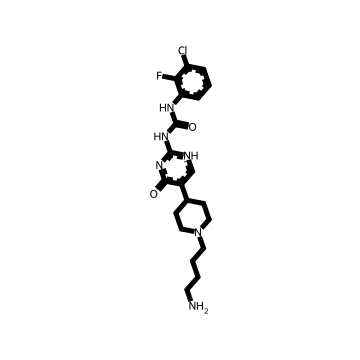 NCCCCN1CCC(c2c[nH]c(NC(=O)Nc3cccc(Cl)c3F)nc2=O)CC1